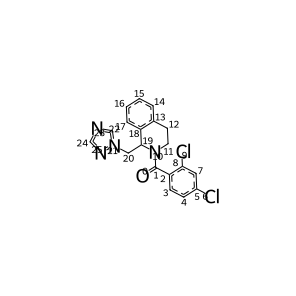 O=C(c1ccc(Cl)cc1Cl)N1CCc2ccccc2C1Cn1cncn1